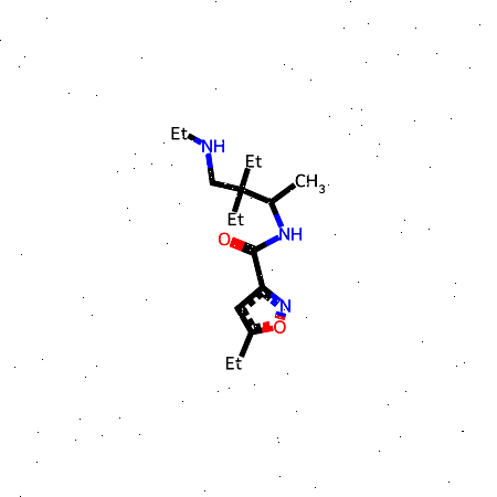 CCNCC(CC)(CC)C(C)NC(=O)c1cc(CC)on1